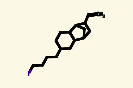 C=CC1CC2CC1C1CCC(CCCCI)CC21